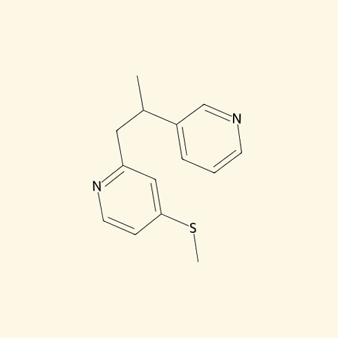 CSc1ccnc(CC(C)c2cccnc2)c1